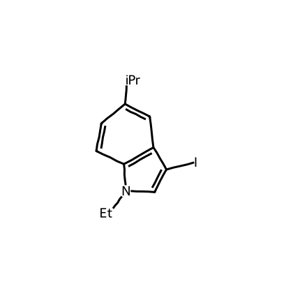 CCn1cc(I)c2cc(C(C)C)ccc21